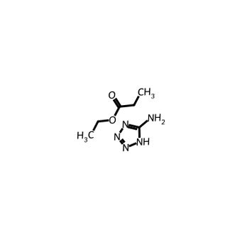 CCOC(=O)CC.Nc1nnn[nH]1